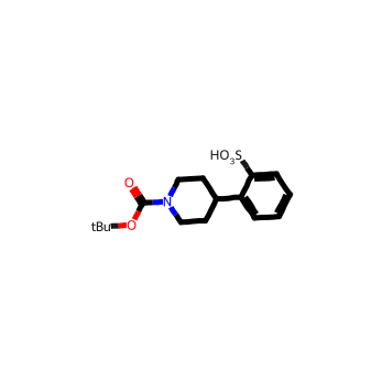 CC(C)(C)OC(=O)N1CCC(c2ccccc2S(=O)(=O)O)CC1